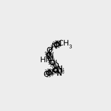 CN1CCN(CCOc2ccc(N[C@H]3CC[C@@H](Oc4cc(N5CCOCC5)cc5nccnc45)CC3)nc2)CC1